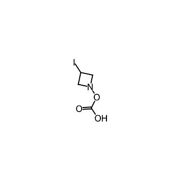 O=C(O)ON1CC(I)C1